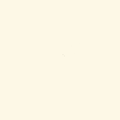 COc1ccc(N(c2ccc(C)cc2)C2C3CC4CC(C3)CC2C4)cc1